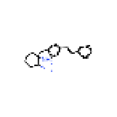 NC1CCCCC1(N)Cc1ccc(C=Cc2ccccc2)cc1